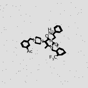 CC(=O)c1cccc(CN2CCN(c3c(C)n(Cc4c(F)cccc4C(F)(F)F)c(=O)n(C[C@@H](N)c4ccccc4)c3=O)CC2)c1